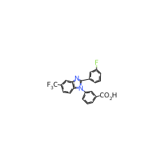 O=C(O)c1cccc(-n2c(-c3cccc(F)c3)nc3cc(C(F)(F)F)ccc32)c1